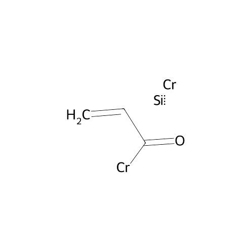 C=C[C](=O)[Cr].[Cr].[Si]